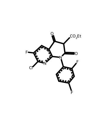 CCOC(=O)C1C(=O)c2cc(F)c(Cl)nc2N(c2ccc(F)cc2F)C1=O